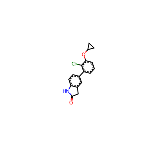 O=C1Cc2cc(-c3cccc(OC4CC4)c3Cl)ccc2N1